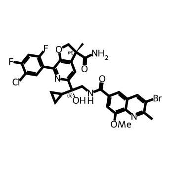 COc1cc(C(=O)NC[C@](O)(c2cc3c(c(-c4cc(Cl)c(F)cc4F)n2)OC[C@]3(C)C(N)=O)C2CC2)cc2cc(Br)c(C)nc12